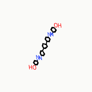 Oc1ccc(/N=N/c2ccc(-c3ccc(-c4ccc(/N=N/c5ccc(O)cc5)cc4)cc3)cc2)cc1